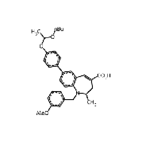 CCCCOC(C)Oc1ccc(-c2ccc3c(c2)C=C(C(=O)O)CC(C)N3Cc2cccc(OC)c2)cc1